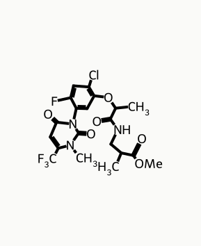 COC(=O)C(C)CNC(=O)C(C)Oc1cc(-n2c(=O)cc(C(F)(F)F)n(C)c2=O)c(F)cc1Cl